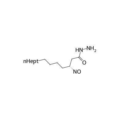 CCCCCCCCCCC[C@H](CC(=O)NN)N=O